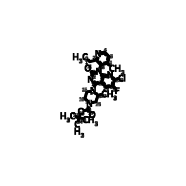 CCc1nccc(C)c1-n1c(=O)nc(N2CCN(C(=O)OC(C)(C)C)CC2C)c2cc(F)c(Cl)nc21